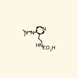 CN(C)C=Nc1ccncc1CCNC(=O)O